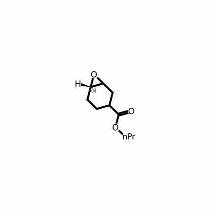 CCCOC(=O)C1CC[C@@H]2OC2C1